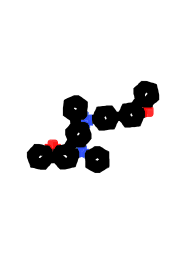 c1ccc(-n2c3cc4c(cc3c3c5oc6ccccc6c5ccc32)c2ccccc2n4-c2ccc(-c3ccc4oc5ccccc5c4c3)cc2)cc1